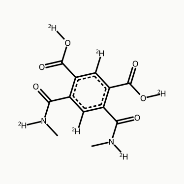 [2H]OC(=O)c1c([2H])c(C(=O)O[2H])c(C(=O)N([2H])C)c([2H])c1C(=O)N([2H])C